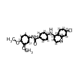 COc1ccc(NC(=O)c2ccc(Nc3ccnc4cc(Cl)ccc34)cc2)cc1OC